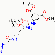 COC(=O)c1cc(NC(=O)N[C@@H](CCCCNC(=O)CN=[N+]=[N-])C(=O)OC(C)(C)C)cc(C(=O)OC)c1